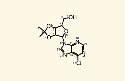 CC1(C)OC2C(O1)[C@@H](CO)O[C@H]2n1cnc2c(Cl)ncnc21